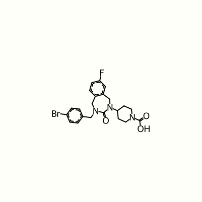 O=C(O)N1CCC(N2Cc3cc(F)ccc3CN(Cc3ccc(Br)cc3)C2=O)CC1